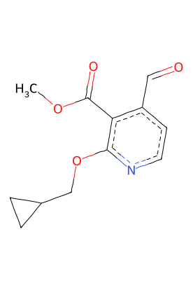 COC(=O)c1c(C=O)ccnc1OCC1CC1